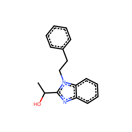 CC(O)c1nc2ccccc2n1CCc1ccccc1